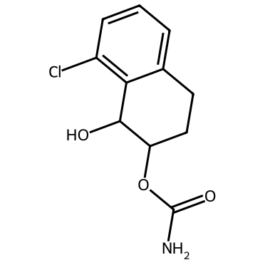 NC(=O)OC1CCc2cccc(Cl)c2C1O